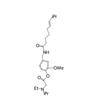 CCN(CC(=O)Oc1ccc(CNC(=O)CCCC/C=C/C(C)C)cc1OC)C(C)C